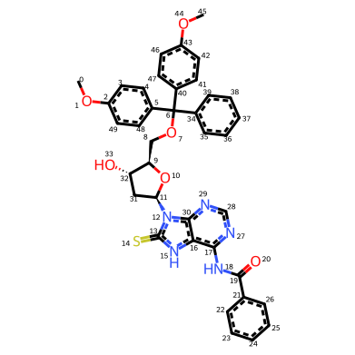 COc1ccc(C(OC[C@H]2O[C@@H](n3c(=S)[nH]c4c(NC(=O)c5ccccc5)ncnc43)C[C@@H]2O)(c2ccccc2)c2ccc(OC)cc2)cc1